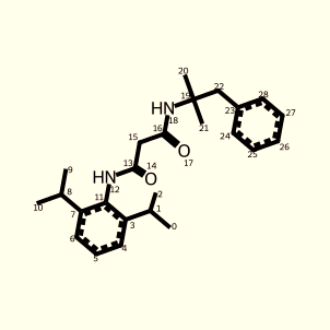 CC(C)c1cccc(C(C)C)c1NC(=O)CC(=O)NC(C)(C)Cc1ccccc1